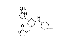 Cc1ccn(-c2cc(CN3CCOC3=O)cc(NC3CCC(F)(F)CC3)n2)n1